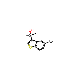 CC(=O)c1ccc2scc([Si](C)(C)O)c2c1